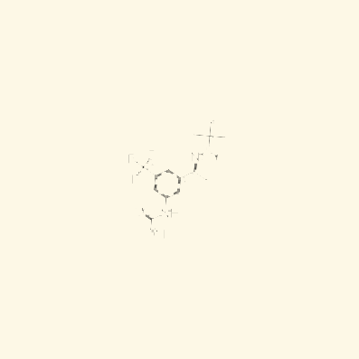 CC(=N[S+]([O-])C(C)(C)C)c1cc(NC(=O)O)cc(C(F)(F)F)c1